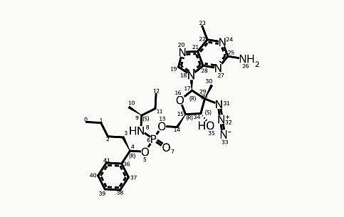 CCCC[C@@H](OP(=O)(N[C@@H](C)CC)OC[C@H]1O[C@@H](n2cnc3c(C)nc(N)nc32)[C@](C)(N=[N+]=[N-])[C@@H]1O)c1ccccc1